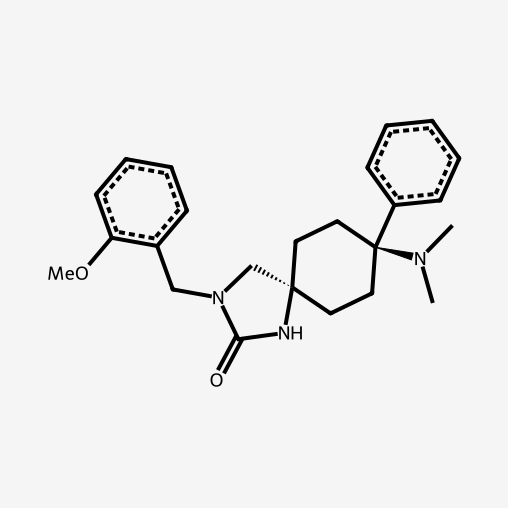 COc1ccccc1CN1C[C@]2(CC[C@](c3ccccc3)(N(C)C)CC2)NC1=O